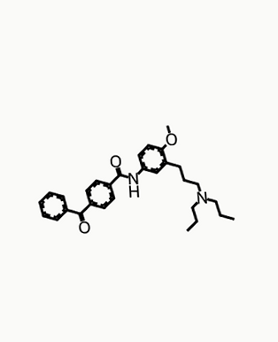 CCCN(CCC)CCCc1cc(NC(=O)c2ccc(C(=O)c3ccccc3)cc2)ccc1OC